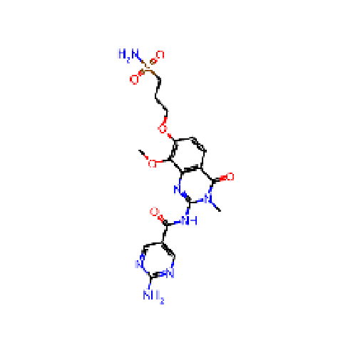 COc1c(OCCCS(N)(=O)=O)ccc2c(=O)n(C)c(NC(=O)c3cnc(N)nc3)nc12